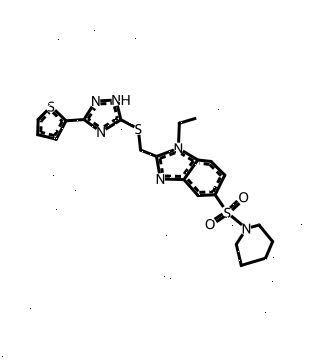 CCn1c(CSc2nc(-c3cccs3)n[nH]2)nc2cc(S(=O)(=O)N3CCCCC3)ccc21